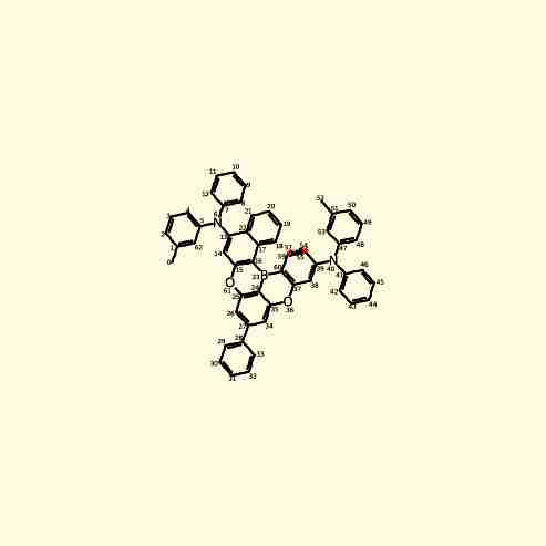 Cc1cccc(N(c2ccccc2)c2cc3c(c4ccccc24)B2c4c(cc(-c5ccccc5)cc4Oc4cc(N(c5ccccc5)c5cccc(C)c5)c5ccccc5c42)O3)c1